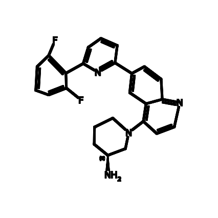 N[C@H]1CCCN(c2ccnc3ccc(-c4cccc(-c5c(F)cccc5F)n4)cc23)C1